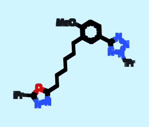 COc1ccc(-c2nnn(C(C)C)n2)cc1CCCCCCc1nnc(C(C)C)o1